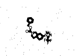 O=C(OCc1ccccc1)N1CCc2ccc(-n3nnnc3C(F)(F)F)cc2C1